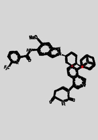 COc1cc2nn([C@H]3CC[C@H](CN4C5CC4CN(c4cccc6c(N7CCC(=O)NC7=O)cncc46)C5)CC3)cc2cc1NC(=O)c1cccc(C(F)(F)F)n1